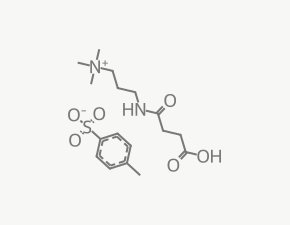 C[N+](C)(C)CCCNC(=O)CCC(=O)O.Cc1ccc(S(=O)(=O)[O-])cc1